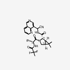 CC(C)[C@H](NC(=O)C(C)(F)F)C(=O)N1C[C@H]2[C@@H]([C@H]1C(=O)NC(C#N)c1cncc3cccnc13)C2(C)C